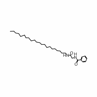 CCCCCCCCCCCCCCCCCCCCCCNC(=O)CNC(=O)c1ccccc1